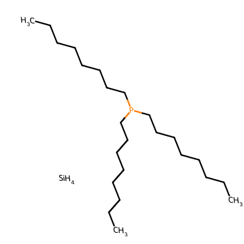 CCCCCCCCP(CCCCCCCC)CCCCCCCC.[SiH4]